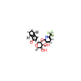 C[C@H]1O[C@H](C2=CC3C(C2=O)[C@H]2CC[C@@H]3C2)[C@H](Oc2cccc(C(F)(F)F)n2)[C@@H](O)[C@H]1O